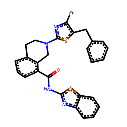 [CH2]Cc1nc(N2CCc3cccc(C(=O)Nc4nc5ccccc5s4)c3C2)sc1Cc1ccccc1